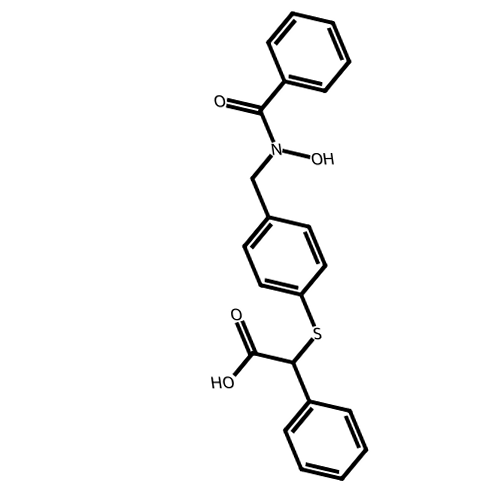 O=C(O)C(Sc1ccc(CN(O)C(=O)c2ccccc2)cc1)c1ccccc1